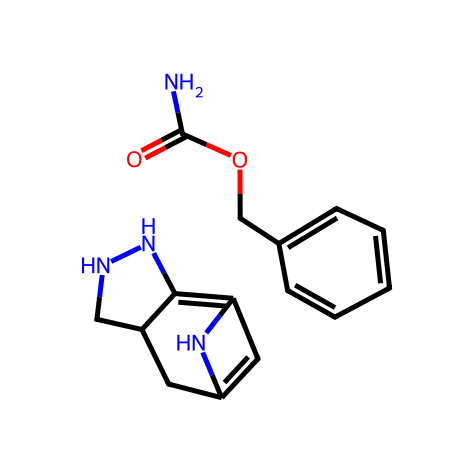 C1=C2CC3CNNC3=C1N2.NC(=O)OCc1ccccc1